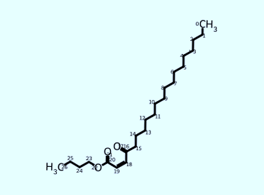 CCC[CH]CCCCCCCCCCCCC(=O)/C=C\C(=O)OCCCC